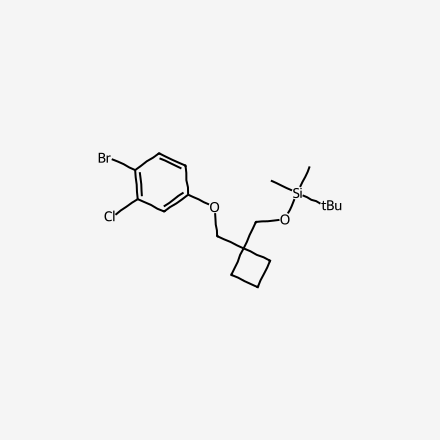 CC(C)(C)[Si](C)(C)OCC1(COc2ccc(Br)c(Cl)c2)CCC1